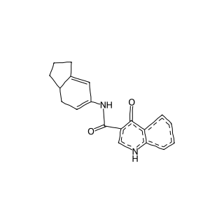 O=C(NC1=CCC2CCCC2=C1)c1c[nH]c2ccccc2c1=O